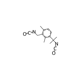 Cc1ccc(C(C)(C)N=C=O)c(C)c1CN=C=O